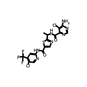 CC(NC(=O)c1ncnc(N)c1Cl)c1ncc(C(=O)Nc2cc(C(F)(F)F)c(Cl)cn2)s1